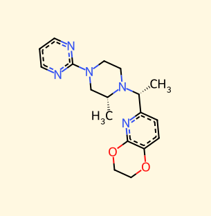 C[C@@H]1CN(c2ncccn2)CCN1[C@H](C)c1ccc2c(n1)OCCO2